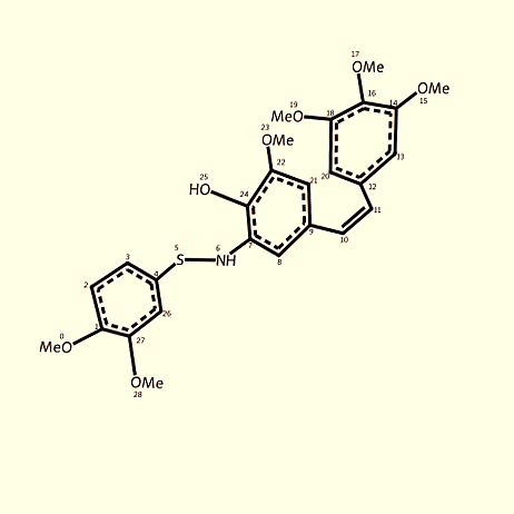 COc1ccc(SNc2cc(/C=C\c3cc(OC)c(OC)c(OC)c3)cc(OC)c2O)cc1OC